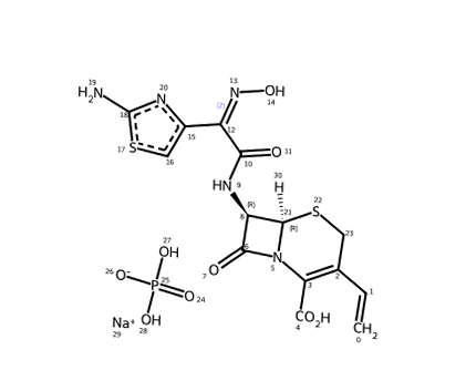 C=CC1=C(C(=O)O)N2C(=O)[C@@H](NC(=O)/C(=N\O)c3csc(N)n3)[C@H]2SC1.O=P([O-])(O)O.[Na+]